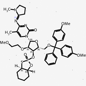 COCCO[C@@H]1[C@H](OP2(=O)O[C@@H]3CCCC[C@H]3S2)[C@@H](COC(c2ccccc2)(c2ccc(OC)cc2)c2ccc(OC)cc2)O[C@H]1n1cc(C)c(/N=C2\CCCN2C)nc1=O